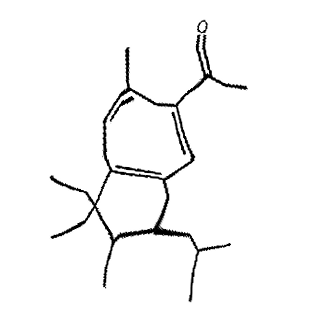 CC(=O)c1cc2c(cc1C)C(C)(C)C(C)C2C(C)C